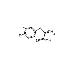 C=C(Cc1ccc(F)c(F)c1)C(=O)O